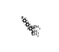 CC[SiH2]c1cnc(-c2ccc(-c3ccc(F)cc3)cc2)nc1CC